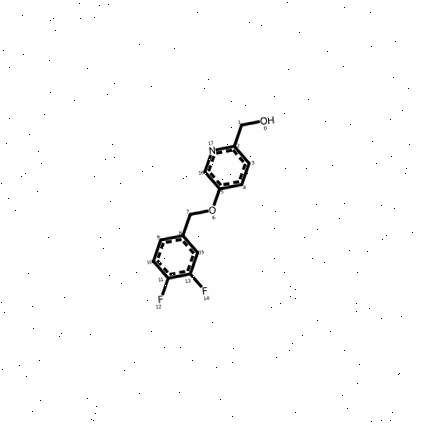 OCc1ccc(OCc2ccc(F)c(F)c2)cn1